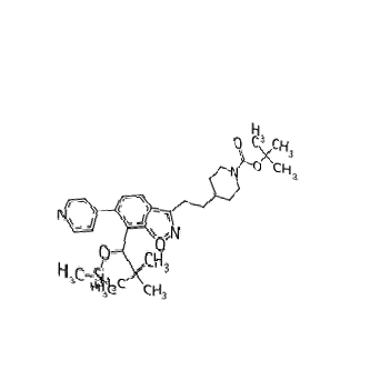 C[SiH](C)OC(c1c(-c2ccncc2)ccc2c(CCC3CCN(C(=O)OC(C)(C)C)CC3)noc12)C(C)(C)C